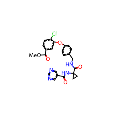 COC(=O)c1ccc(Cl)c(Oc2ccc(CNC(=O)C3(NC(=O)c4cncnc4)CC3)cc2)c1